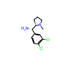 CN1CCC[C@@H]1[C@@H](N)c1ccc(Cl)c(Cl)c1